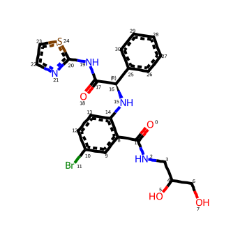 O=C(NCC(O)CO)c1cc(Br)ccc1N[C@@H](C(=O)Nc1nccs1)c1ccccc1